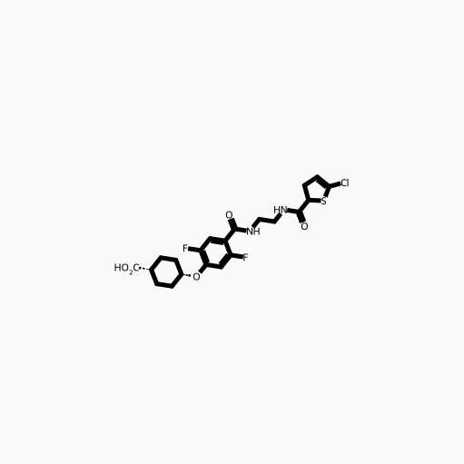 O=C(NCCNC(=O)C1CC=C(Cl)S1)c1cc(F)c(O[C@H]2CC[C@@H](C(=O)O)CC2)cc1F